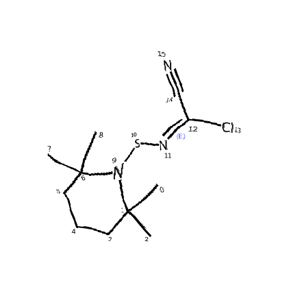 CC1(C)CCCC(C)(C)N1S/N=C(/Cl)C#N